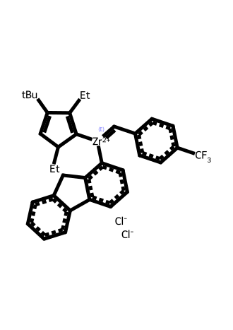 CCC1=[C](/[Zr+2](=[CH]/c2ccc(C(F)(F)F)cc2)[c]2cccc3c2Cc2ccccc2-3)C(CC)C=C1C(C)(C)C.[Cl-].[Cl-]